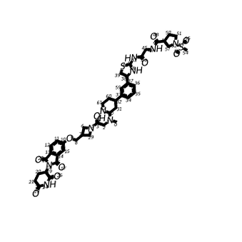 CN(CC(=O)N1CC(COc2ccc3c(c2)C(=O)N(C2CCC(=O)NC2=O)C3=O)C1)C1CC(c2cccc(C3CSC(NC(=O)CNC(=O)C4CCN(S(C)(=O)=O)C4)N3)c2)CCN1